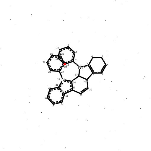 C1=CC2=C(CC1)N(c1ccccc1)C1c3c(c4ccccc4n3-c3ccccc3)C=CC21